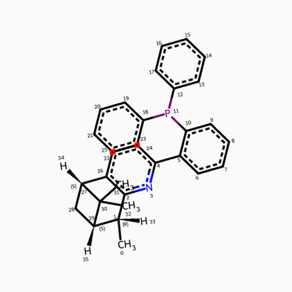 C[C@H]1c2nc(-c3ccccc3P(c3ccccc3)c3ccccc3)ccc2[C@H]2C[C@@H]1C2(C)C